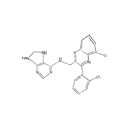 FC(F)(F)c1ccccc1-c1nc2c(Cl)cccc2nc1CNc1ncnc2c1NCN2